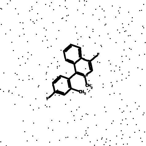 [CH2-][n+]1cc(F)c2ccccc2c1-c1ccc(F)cc1C